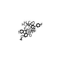 C[C@]1(C(N)=O)COc2c1cc(C(O)(CNC(=O)c1ccc(OC3CC3)c(-c3cnccc3C(F)(F)F)c1)C(F)(F)F)nc2-c1ccc(F)cc1